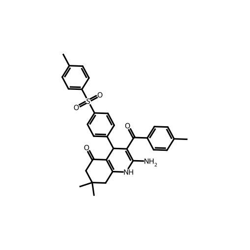 Cc1ccc(C(=O)C2=C(N)NC3=C(C(=O)CC(C)(C)C3)C2c2ccc(S(=O)(=O)c3ccc(C)cc3)cc2)cc1